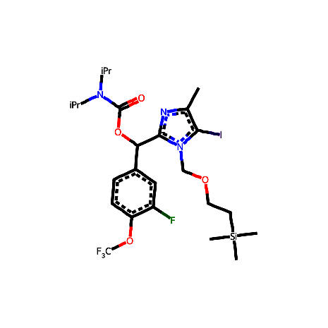 Cc1nc(C(OC(=O)N(C(C)C)C(C)C)c2ccc(OC(F)(F)F)c(F)c2)n(COCC[Si](C)(C)C)c1I